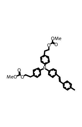 COC(=O)OCCc1ccc(N(c2ccc(C=Cc3ccc(C)cc3)cc2)c2ccc(CCOC(=O)OC)cc2)cc1